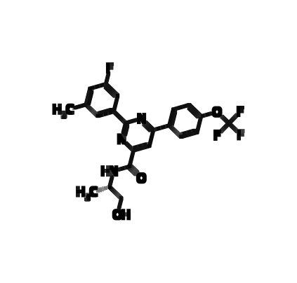 Cc1cc(F)cc(-c2nc(C(=O)N[C@@H](C)CO)cc(-c3ccc(OC(F)(F)F)cc3)n2)c1